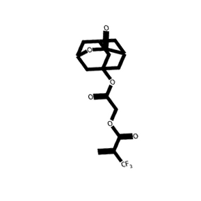 C=C(C(=O)OCC(=O)OC12CC3CC(C1)OC(=O)C(C3)C2)C(F)(F)F